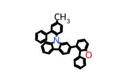 Cc1ccc(-n2c3ccccc3c3ccc(-c4cccc5oc6ccccc6c45)cc32)c(-c2ccccc2)c1